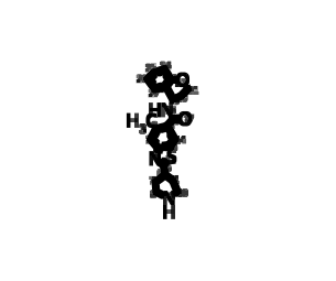 Cc1cc2nc(C3CCNCC3)sc2cc1C(=O)N[C@H]1CCOc2ccccc21